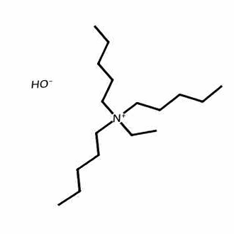 CCCCC[N+](CC)(CCCCC)CCCCC.[OH-]